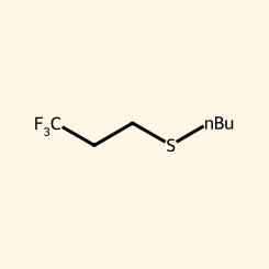 CCCCSCCC(F)(F)F